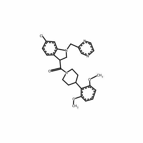 COc1cccc(OC)c1C1CCN(C(=O)C2CN(Cc3cnccn3)c3cc(Cl)ccc32)CC1